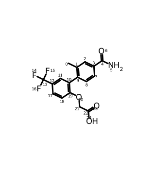 Cc1cc(C(N)=O)ccc1-c1cc(C(F)(F)F)ccc1OCC(=O)O